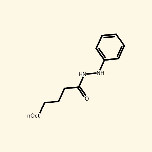 CCCCCCCCCCCC(=O)NNc1ccccc1